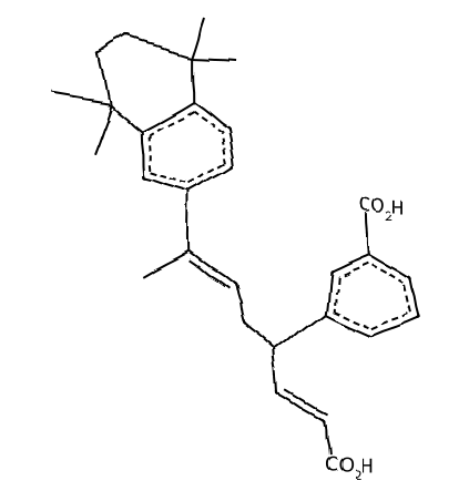 C/C(=C\CC(C=CC(=O)O)c1cccc(C(=O)O)c1)c1ccc2c(c1)C(C)(C)CCC2(C)C